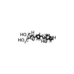 O=C(O)CC[C@@H](NC(=O)c1ccc(CCN2C=Nc3[nH]ccc3C2O)cc1)C(=O)O